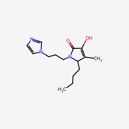 CCCCC1C(C)=C(O)C(=O)N1CCCn1ccnc1